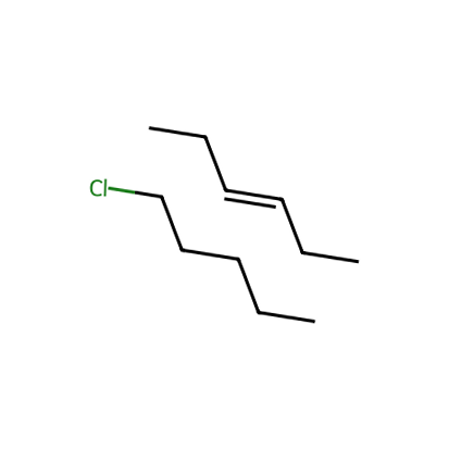 CCC=CCC.CCCCCCl